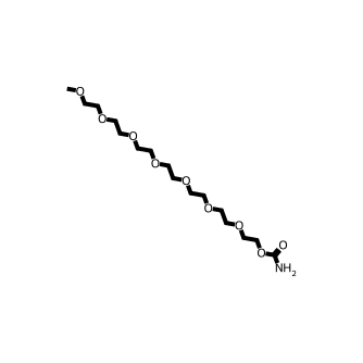 COCCOCCOCCOCCOCCOCCOCCOC(N)=O